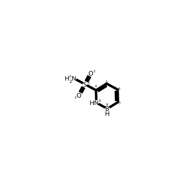 NS(=O)(=O)C1=CC=CBN1